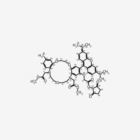 COC(=O)CN1CCOCCN(CC(=O)OC)c2cc(OCC(=O)ON3C(=O)CCC3=O)c(-c3c4ccc(=[N+](C)C)cc-4oc4cc(N(C)C)ccc34)cc2OCCOc2cc(C)ccc21